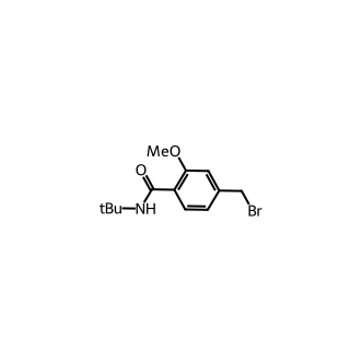 COc1cc(CBr)ccc1C(=O)NC(C)(C)C